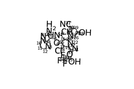 CC(NC(=O)c1c(N)nn2cccnc12)c1cc(Cl)c2cncn2c1N1C[C@H](O)C[C@H](C#N)C1.O=C(O)C(F)(F)F